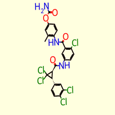 Cc1cc(OC(N)=O)ccc1NC(=O)c1cc(NC(=O)[C@H]2[C@H](c3ccc(Cl)c(Cl)c3)C2(Cl)Cl)ccc1Cl